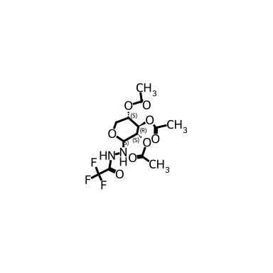 CC(=O)O[C@H]1[C@H](OC(C)=O)[C@@H](NNC(=O)C(F)(F)F)OC[C@@H]1OC(C)=O